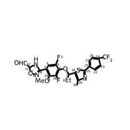 CCC(Oc1c(F)cc(C2=NOC(C=O)N2)c(OC)c1F)c1sc(-c2ccc(C(F)(F)F)cc2)nc1C